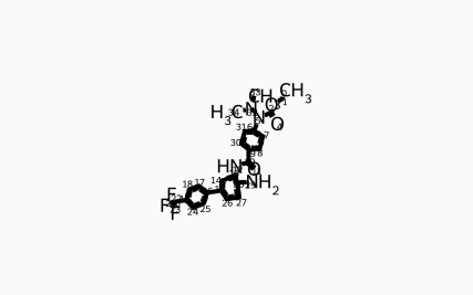 CCOC(=O)N(c1ccc(C(=O)Nc2cc(-c3ccc(C(F)(F)F)cc3)ccc2N)cc1)N(C)C